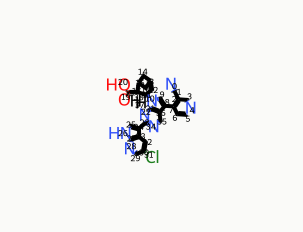 N#Cc1cnccc1-c1cn([C@@H]2C=C3CC(C3)[C@H]2C(=O)O)c2nc(-c3c[nH]c4ncc(Cl)cc34)ncc12